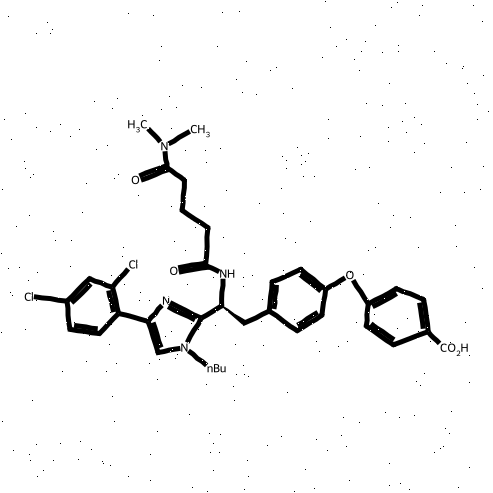 CCCCn1cc(-c2ccc(Cl)cc2Cl)nc1[C@H](Cc1ccc(Oc2ccc(C(=O)O)cc2)cc1)NC(=O)CCCC(=O)N(C)C